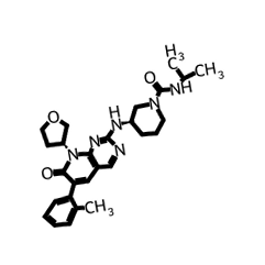 Cc1ccccc1-c1cc2cnc(N[C@@H]3CCCN(C(=O)NC(C)C)C3)nc2n([C@@H]2CCOC2)c1=O